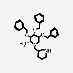 C[C@@H]1[C@@H](OCc2ccccc2)[C@H](OCc2ccccc2)[C@@H](OCc2ccccc2)CN1CC1CCCNC1